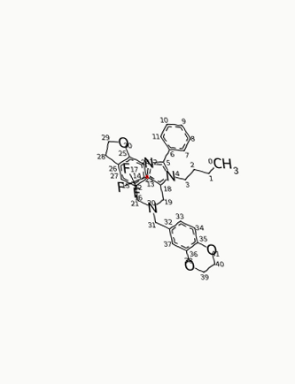 CCCCn1c(-c2ccccc2)nc(C(F)(F)F)c1CN(Cc1ccc2c(c1)CCO2)Cc1ccc2c(c1)OCCO2